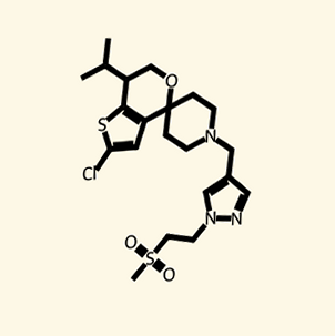 CC(C)C1COC2(CCN(Cc3cnn(CCS(C)(=O)=O)c3)CC2)c2cc(Cl)sc21